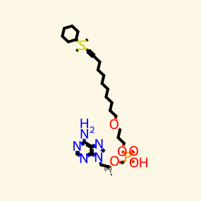 C[C@H](Cn1cnc2c(N)ncnc21)OCP(=O)(O)OCCCOCCCCCCCCCC#CS(C)(C)C1CCCCC1